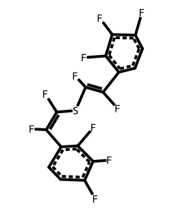 FC(SC(F)=C(F)c1ccc(F)c(F)c1F)=C(F)c1ccc(F)c(F)c1F